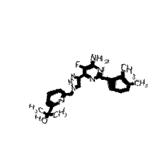 Cc1cccc(-c2nc(N)c(F)c(-c3cn(Cc4cccc(C(C)(C)O)n4)nn3)n2)c1C